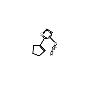 [N-]=[N+]=Nc1ccsc1C1=CCCC1